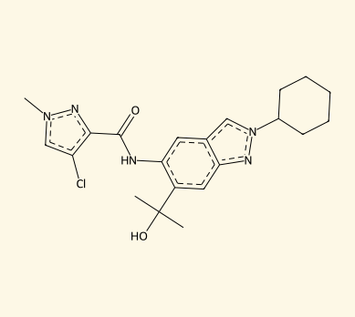 Cn1cc(Cl)c(C(=O)Nc2cc3cn(C4CCCCC4)nc3cc2C(C)(C)O)n1